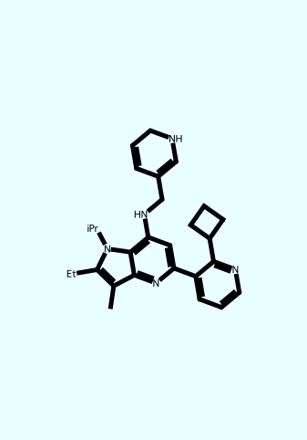 CCc1c(C)c2nc(-c3cccnc3C3CCC3)cc(NCC3=CNCC=C3)c2n1C(C)C